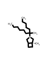 CCCCCCC(C)(CCCCC)N1CC2CC[C@]2(C)C1